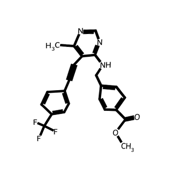 COC(=O)c1ccc(CNc2ncnc(C)c2C#Cc2ccc(C(F)(F)F)cc2)cc1